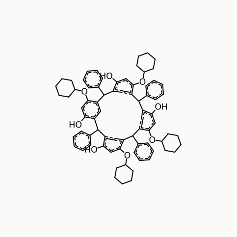 Oc1cc(OC2CCCCC2)c2cc1C(c1ccccc1)c1cc(c(OC3CCCCC3)cc1O)C(c1ccccc1)c1cc(c(O)cc1OC1CCCCC1)C(c1ccccc1)c1cc(c(O)cc1OC1CCCCC1)C2c1ccccc1